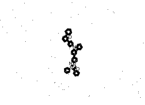 c1ccc(-n2c3c4ccccc4oc3n3c4ccc(-c5ccc6c(c5)c5ccccc5n6-c5ccc(-c6cccc7c6oc6ccccc67)cc5)cc4nc23)cc1